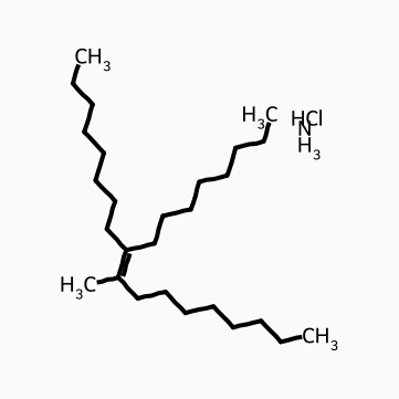 CCCCCCCCC(C)=C(CCCCCCCC)CCCCCCCC.Cl.N